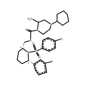 CC1CN(C2CCCCC2)CCN1C(=O)OC[C@H]1CCC[C@@H](c2cccc(F)c2)N1S(=O)(=O)c1ccc(Cl)cc1